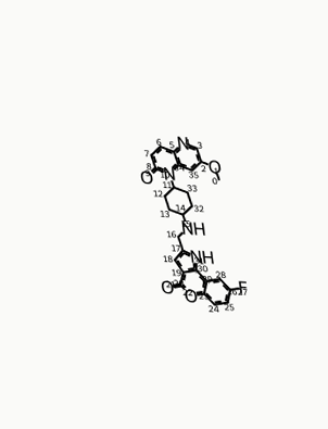 COc1cnc2ccc(=O)n(C3CCC(NCc4cc5c(=O)oc6ccc(F)cc6c5[nH]4)CC3)c2c1